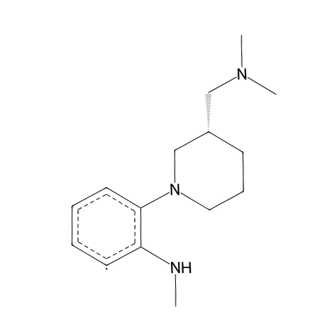 CNc1[c]cccc1N1CCC[C@@H](CN(C)C)C1